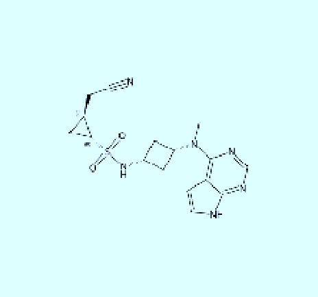 CN(c1ncnc2[nH]ccc12)[C@H]1C[C@@H](NS(=O)(=O)[C@@H]2C[C@H]2CC#N)C1